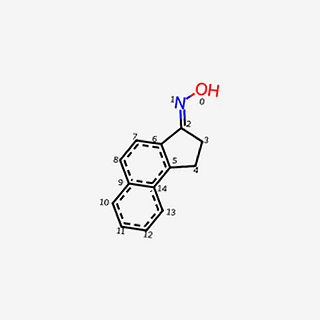 ON=C1CCc2c1ccc1ccccc21